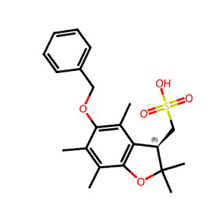 Cc1c(C)c2c(c(C)c1OCc1ccccc1)[C@@H](CS(=O)(=O)O)C(C)(C)O2